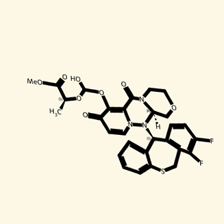 COC(=O)[C@H](C)OC(O)Oc1c2n(ccc1=O)N([C@@H]1c3ccccc3SCc3c1ccc(F)c3F)[C@@H]1COCCN1C2=O